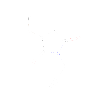 C#CCN1C(=O)CC(SC)C1=O